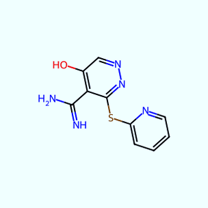 N=C(N)c1c(O)cnnc1Sc1ccccn1